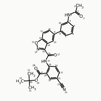 CC(=O)Nc1cccc(-c2ccc3onc(C(=O)Nc4ccc(C#N)cc4C(=O)OC(C)(C)C)c3c2)c1